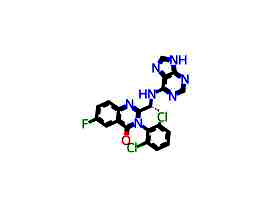 C[C@@H](Nc1ncnc2[nH]cnc12)c1nc2ccc(F)cc2c(=O)n1-c1c(Cl)cccc1Cl